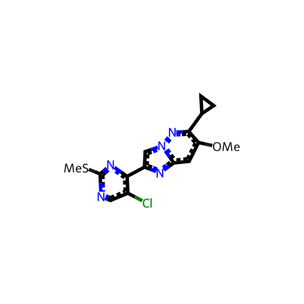 COc1cc2nc(-c3nc(SC)ncc3Cl)cn2nc1C1CC1